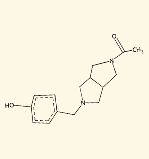 CC(=O)N1CC2CN(Cc3ccc(O)cc3)CC2C1